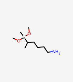 CO[Si](C)(OC)C(C)CCCCN